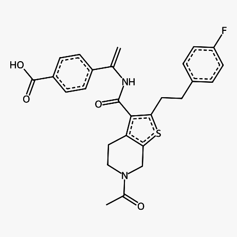 C=C(NC(=O)c1c(CCc2ccc(F)cc2)sc2c1CCN(C(C)=O)C2)c1ccc(C(=O)O)cc1